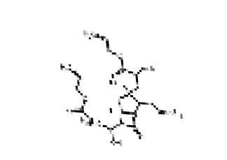 C=CCOC(=O)C(C)CC1(C(=O)O)S[C@@H]2C(C(C)O)C(=O)N2C1CC=C.C=CCOC(N)=O